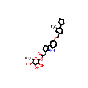 O=C(C[C@H]1CCc2c1[nH]c1ccc(OCc3ccc(C4CCCC4)c(C(F)(F)F)c3)cc21)OC1OC(C(=O)O)C(O)C(O)C1O